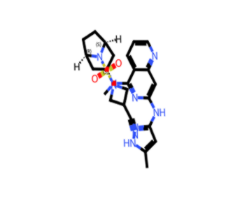 Cc1cc(Nc2cc3ncccc3c(N(C)[C@@H]3C[C@H]4CC[C@@H](C3)N4S(=O)(=O)N3CC(C#N)C3)n2)n[nH]1